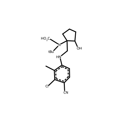 Cc1c(NCC2(N(C(=O)O)C(C)(C)C)CCCC2O)ccc(C#N)c1Cl